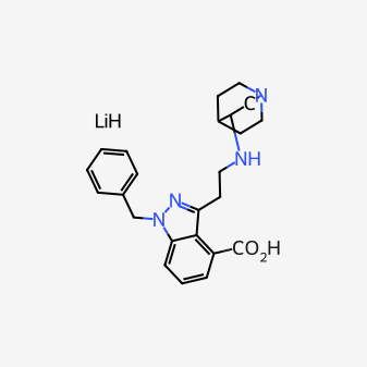 O=C(O)c1cccc2c1c(CCNC1CN3CCC1CC3)nn2Cc1ccccc1.[LiH]